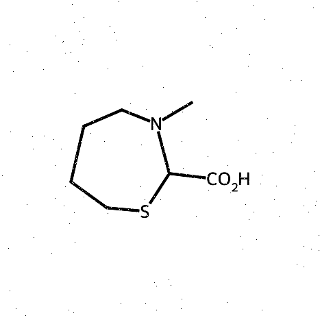 CN1CCCCSC1C(=O)O